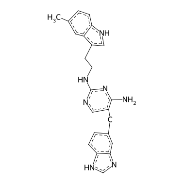 Cc1ccc2[nH]cc(CCNc3ncc(Cc4ccc5[nH]cnc5c4)c(N)n3)c2c1